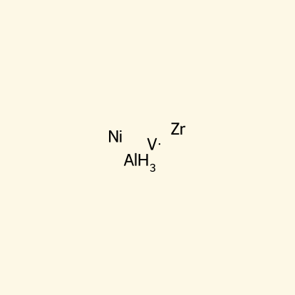 [AlH3].[Ni].[V].[Zr]